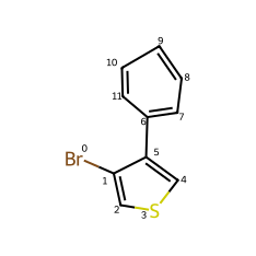 Brc1cscc1-c1ccccc1